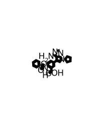 Nc1ncnc2c1c(-c1ccc(NS(=O)(=O)c3ccccc3)c(C(=O)O)c1)cn2C1CCCC1